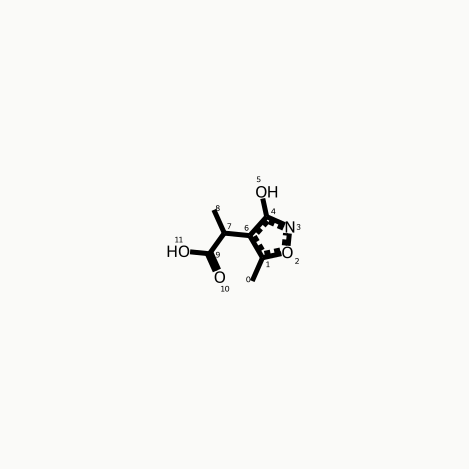 Cc1onc(O)c1C(C)C(=O)O